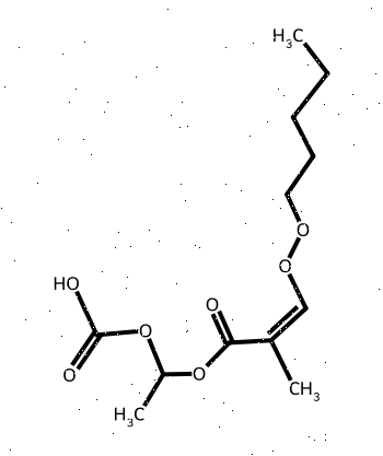 CCCCCOOC=C(C)C(=O)OC(C)OC(=O)O